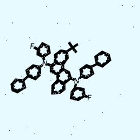 CC(C)(C)c1ccc2c(N(c3ccc(-c4ccccc4)cc3)c3cccc(F)c3)cc3c4ccccc4c(N(c4ccc(-c5ccccc5)cc4)c4cccc(F)c4)cc3c2c1